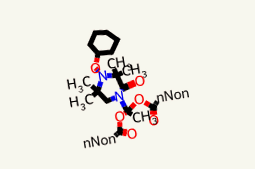 CCCCCCCCCC(=O)OC(C)(OC(=O)CCCCCCCCC)N1CC(C)(C)N(OC2CCCCC2)C(C)(C)C1=O